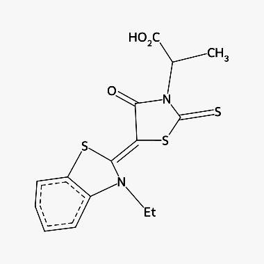 CCN1/C(=C2\SC(=S)N(C(C)C(=O)O)C2=O)Sc2ccccc21